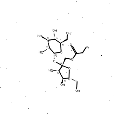 CC(C)CC(=O)OC[C@@]1(O[C@H]2O[C@H](CO)[C@@H](O)[C@H](O)[C@H]2O)O[C@H](CO)[C@@H](O)[C@@H]1O